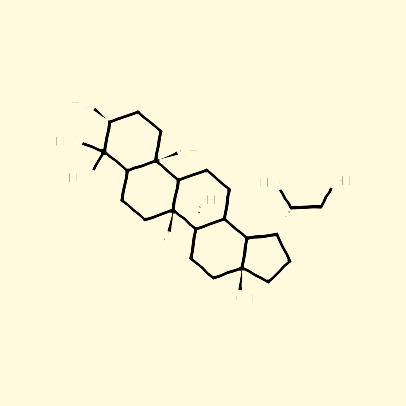 CC1(C)C2CC[C@]3(C)C(CCC4C5[C@H](C(O)CO)CC[C@]5(C)CC[C@]43C)[C@@]2(C)CC[C@@H]1O